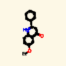 CCOc1ccc2[nH]c(-c3ccccc3)cc(=O)c2c1